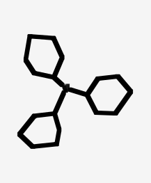 C1CC[CH]([V]([CH]2CCCCC2)[CH]2CCCCC2)CC1